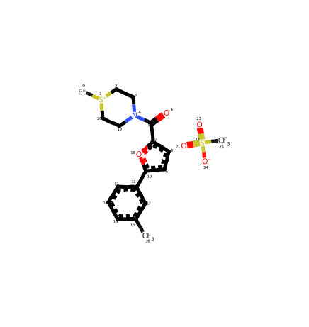 CC[S+]1CCN(C(=O)c2ccc(-c3cccc(C(F)(F)F)c3)o2)CC1.O=S(=O)([O-])C(F)(F)F